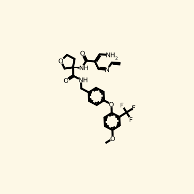 C=C/N=C\C(=C/N)C(=O)N[C@]1(C(=O)NCc2ccc(Oc3ccc(OC)cc3C(F)(F)F)cc2)CCOC1